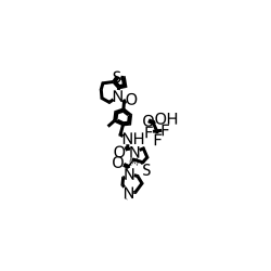 Cc1cc(C(=O)N2CCCCc3sccc32)ccc1CNC(=O)N1CCC(=S)[C@H]1C(=O)N1CCCN(C)CC1.O=C(O)C(F)(F)F